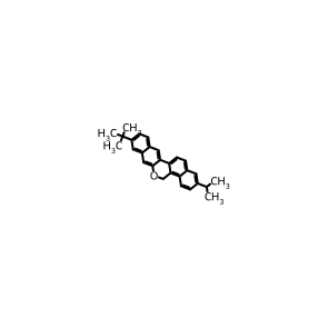 CC(C)c1ccc2c3c(ccc2c1)-c1cc2ccc(C(C)(C)C)cc2cc1OC3